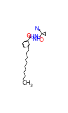 CCCCCCCCCCCc1cccc(C(=O)NNC(=O)C2(C#N)CC2)c1